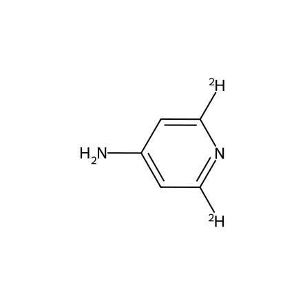 [2H]c1cc(N)cc([2H])n1